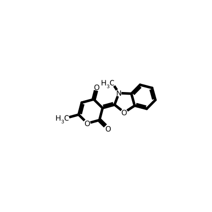 CC1=CC(=O)/C(=C2/Oc3ccccc3N2C)C(=O)O1